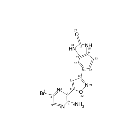 Nc1ncc(Br)nc1-c1cc(-c2ccc3[nH]c(=O)[nH]c3c2)no1